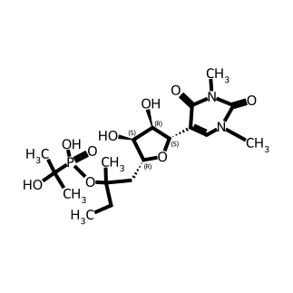 CCC(C)(C[C@H]1O[C@@H](c2cn(C)c(=O)n(C)c2=O)[C@H](O)[C@@H]1O)OP(=O)(O)C(C)(C)O